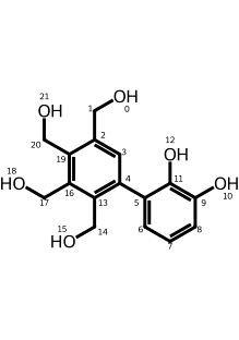 OCc1cc(-c2cccc(O)c2O)c(CO)c(CO)c1CO